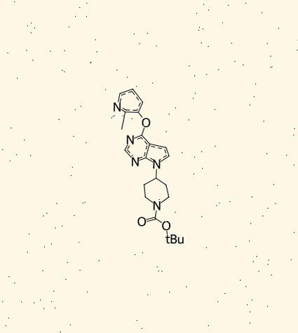 Cc1ncccc1Oc1ncnc2c1ccn2C1CCN(C(=O)OC(C)(C)C)CC1